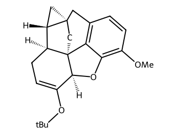 COc1ccc2c3c1O[C@H]1C(OC(C)(C)C)=CC[C@H]4[C@@H]5C[C@]5(C2)C[C@]314